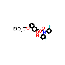 CCOC(=O)COc1cccc2c1CC[C@](O)(COC(=O)N(c1cccc(F)c1)c1cccc(F)c1)C2